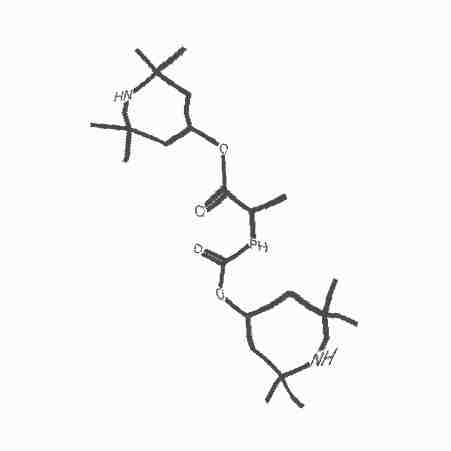 CC(PC(=O)OC1CC(C)(C)NC(C)(C)C1)C(=O)OC1CC(C)(C)NC(C)(C)C1